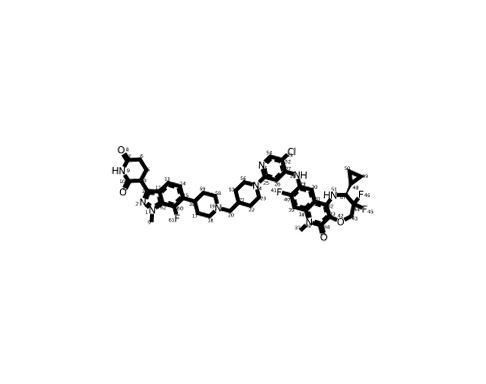 Cn1nc(C2CCC(=O)NC2=O)c2ccc(C3CCN(CC4CCN(c5cc(Nc6cc7c8c(c(=O)n(C)c7cc6F)OCC(F)(F)[C@H](C6CC6)N8)c(Cl)cn5)CC4)CC3)c(F)c21